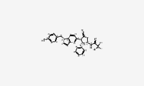 CC(F)(F)C(=O)N[C@@H]1CC(=O)N(c2ccc3c(ccn3Cc3ccc(F)cc3)c2)[C@H]1c1ccccc1